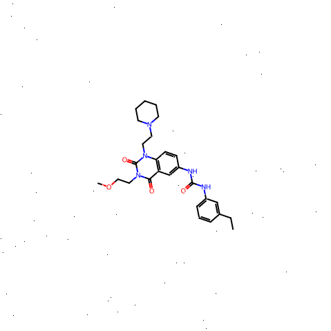 CCc1cccc(NC(=O)Nc2ccc3c(c2)c(=O)n(CCOC)c(=O)n3CCN2CCCCC2)c1